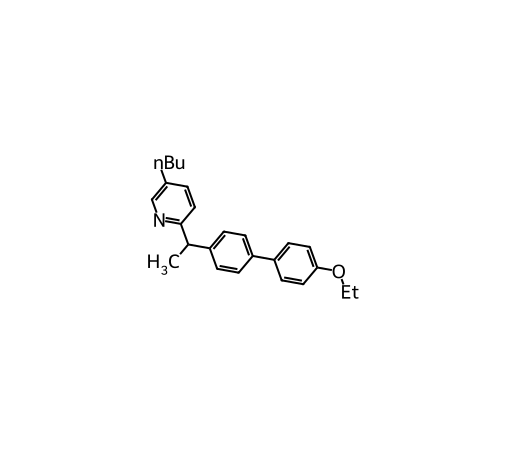 CCCCc1ccc(C(C)c2ccc(-c3ccc(OCC)cc3)cc2)nc1